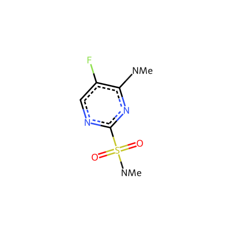 CNc1nc(S(=O)(=O)NC)ncc1F